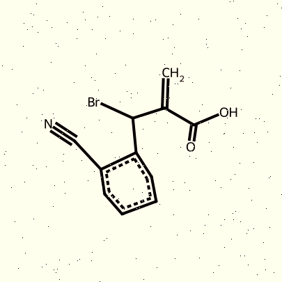 C=C(C(=O)O)C(Br)c1ccccc1C#N